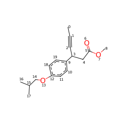 CC#CC(CC(=O)OC)c1ccc(OCC(C)C)cc1